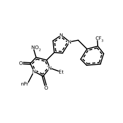 CCCn1c(=O)c([N+](=O)[O-])c(-c2cnn(Cc3ccccc3C(F)(F)F)c2)n(CC)c1=O